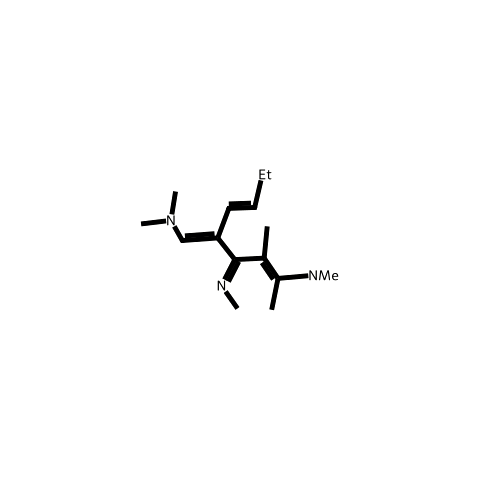 CC/C=C/C(=C\N(C)C)C(=N/C)/C(C)=C(\C)NC